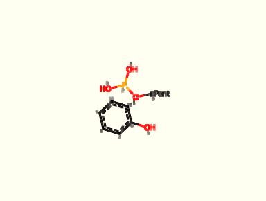 CCCCCOP(O)O.Oc1ccccc1